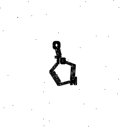 O=[Te]1C=CN=C1